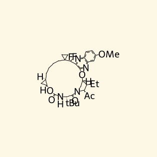 CC[C@@H]1[C@@H]2CN(C(=O)[C@H](C(C)(C)C)NC(=O)O[C@@H]3C[C@H]3CCCCC3(CC3)C(F)(F)c3nc4ccc(OC)cc4nc3O2)[C@@H]1C(C)=O